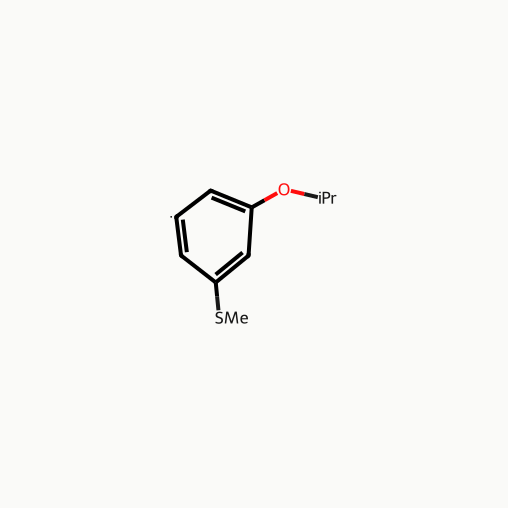 CSc1c[c]cc(OC(C)C)c1